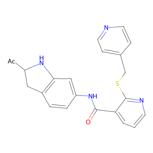 CC(=O)C1Cc2ccc(NC(=O)c3cccnc3SCc3ccncc3)cc2N1